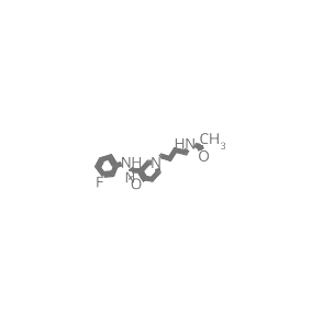 CC(=O)NCCCCN1CCc2onc(Nc3cccc(F)c3)c2C1